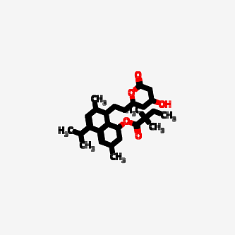 CCC(C)(C)C(=O)OC1CC(C)C=C2C(C(C)C)=CC(C)C(CCC3CC(O)CC(=O)O3)C21